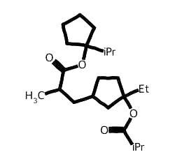 CCC1(OC(=O)C(C)C)CCC(CC(C)C(=O)OC2(C(C)C)CCCC2)C1